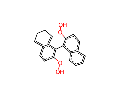 OOc1ccc2c(c1-c1c(OO)ccc3ccccc13)=CCCC=2